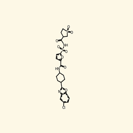 O=C(NC1CCC(c2nc3cc(Cl)ccc3o2)CC1)c1ccc(S(=O)(=O)NC(=O)C2CCS(=O)(=O)C2)o1